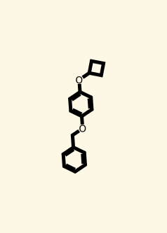 c1ccc(COc2ccc(OC3CCC3)cc2)cc1